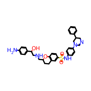 Nc1ccc(C(O)CNCC2CCc3cc(S(=O)(=O)Nc4ccc(N5C=NCC(c6ccccc6)C5)cc4)ccc3O2)cc1